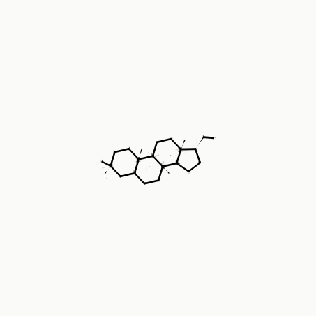 C[C@@]1(O)CC[C@H]2C(CC[C@@H]3[C@@H]2CC[C@]2(C)[C@@H](CO)CC[C@@H]32)C1